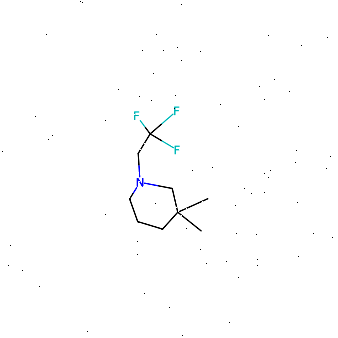 CC1(C)CCCN(CC(F)(F)F)C1